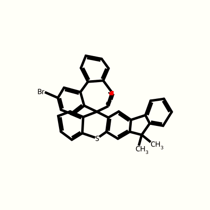 CC1(C)c2ccccc2-c2cc3c(cc21)Sc1ccccc1C31c2ccccc2-c2ccccc2-c2cc(Br)ccc21